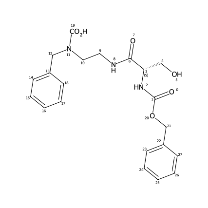 O=C(N[C@@H](CO)C(=O)NCCN(Cc1ccccc1)C(=O)O)OCc1ccccc1